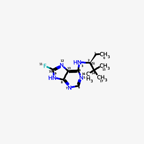 CC[C@H](Nc1ncnc2[nH]c(F)nc12)C(C)(C)C